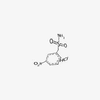 Cl.NS(=O)(=O)c1cccc([N+](=O)[O-])c1